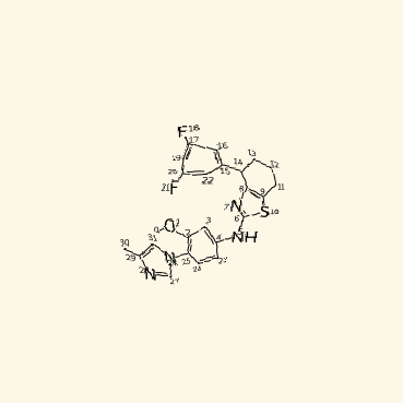 COc1cc(Nc2nc3c(s2)CCCC3c2cc(F)cc(F)c2)ccc1-n1cnc(C)c1